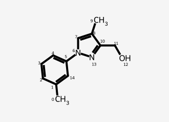 Cc1cccc(-n2cc(C)c(CO)n2)c1